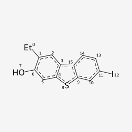 CCc1cc2c(cc1O)sc1cc(I)ccc12